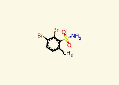 Cc1ccc(Br)c(Br)c1S(N)(=O)=O